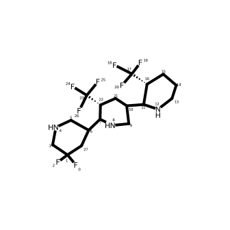 FC1(F)CNCC(C2NCC(C3NCCC[C@H]3C(F)(F)F)C[C@H]2C(F)(F)F)C1